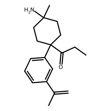 C=C(C)c1cccc(C2(C(=O)CC)CCC(C)(N)CC2)c1